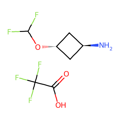 N[C@H]1C[C@H](OC(F)F)C1.O=C(O)C(F)(F)F